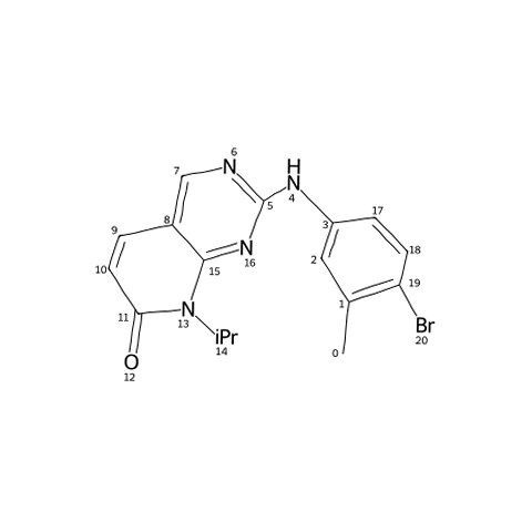 Cc1cc(Nc2ncc3ccc(=O)n(C(C)C)c3n2)ccc1Br